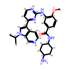 COc1ccc(C(=O)NC2CCC(N)CC2)cc1Nc1nccc(-c2cn(C(C)C)c3cnccc23)n1